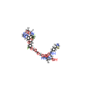 CCn1cc(-c2cc(Cn3ccn(C)c3=NC(=O)OC(C)(C)C)cc3c2OCC(Cc2ccc(F)c(OCCOCCOCCOCC(=O)N[C@H](C(=O)N4C[C@H](O)C[C@H]4C(=O)NCc4ccc(-c5scnc5C)cc4)C(C)(C)C)c2)C3=O)c(C(F)(F)F)n1